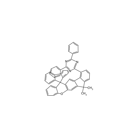 CC1(C)c2cc3c(cc2-c2c(-c4nc(-c5ccccc5)nc(-c5ccccc5)n4)cccc21)C1(c2ccccc2O3)c2ccccc2-c2ccccc21